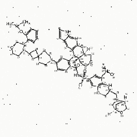 CC(C)Oc1ccccc1[C@@H]1COCCN1C1CC2(CCN(c3ccc(C(=O)NS(=O)(=O)c4cc5c(c([N+](=O)[O-])c4)N[C@@H](CN4C[C@H]6C[C@@H]4CO6)CO5)c(N4c5cc6cc[nH]c6nc5O[C@H]5COCC[C@@H]54)c3)CC2)C1